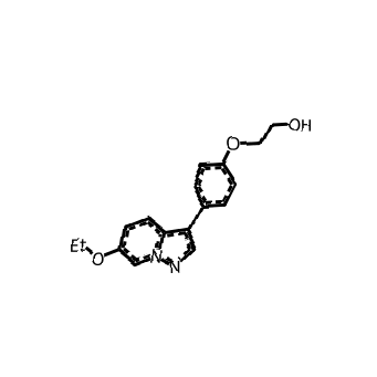 CCOc1ccc2c(-c3ccc(OCCO)cc3)cnn2c1